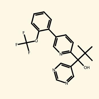 CC(C)(C)C(O)(c1cncnc1)c1ccc(-c2ccccc2OC(F)(F)F)cn1